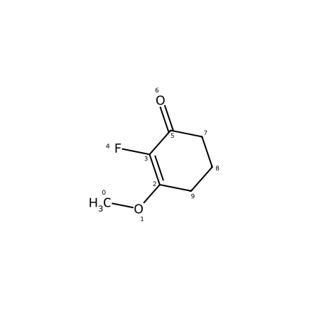 COC1=C(F)C(=O)CCC1